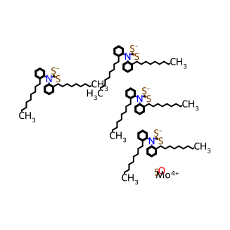 CCCCCCCCCc1ccccc1N(C(=S)[S-])c1ccccc1CCCCCCCCC.CCCCCCCCCc1ccccc1N(C(=S)[S-])c1ccccc1CCCCCCCCC.CCCCCCCCCc1ccccc1N(C(=S)[S-])c1ccccc1CCCCCCCCC.CCCCCCCCCc1ccccc1N(C(=S)[S-])c1ccccc1CCCCCCCCC.O=S.[Mo+4]